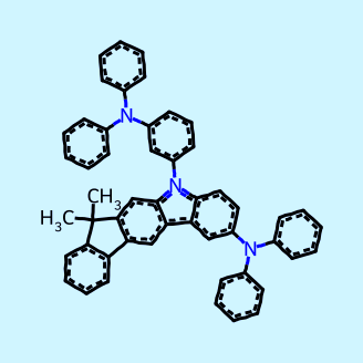 CC1(C)c2ccccc2-c2cc3c4cc(N(c5ccccc5)c5ccccc5)ccc4n(-c4cccc(N(c5ccccc5)c5ccccc5)c4)c3cc21